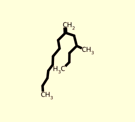 C=C(CCCCCCCC)CC(C)CCC